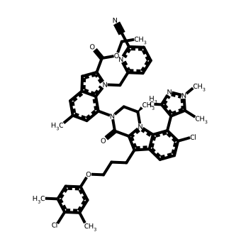 CCOC(=O)c1cc2cc(C)cc(N3C[C@@H](C)n4c(c(CCCOc5cc(C)c(Cl)c(C)c5)c5ccc(Cl)c(-c6c(C)nn(C)c6C)c54)C3=O)c2n1Cc1cccc(C#N)n1